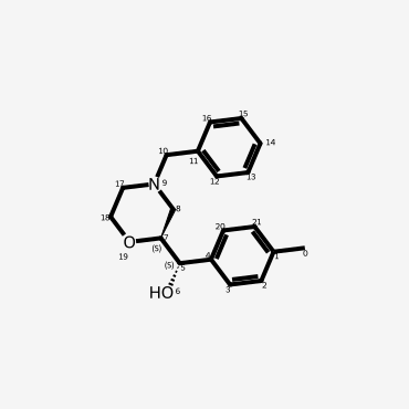 Cc1ccc([C@H](O)[C@@H]2CN(Cc3ccccc3)CCO2)cc1